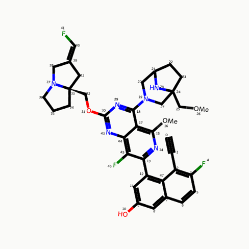 C#Cc1c(F)ccc2cc(O)cc(-c3nc(OC)c4c(N5CC6CCC(COC)(C5)N6)nc(OC[C@@]56CCCN5C/C(=C\F)C6)nc4c3F)c12